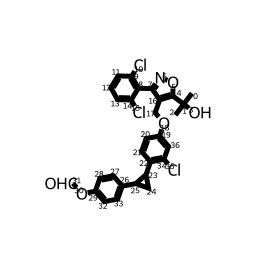 CC(C)(O)c1onc(-c2c(Cl)cccc2Cl)c1COc1ccc(C2CC2c2ccc(OC=O)cc2)c(Cl)c1